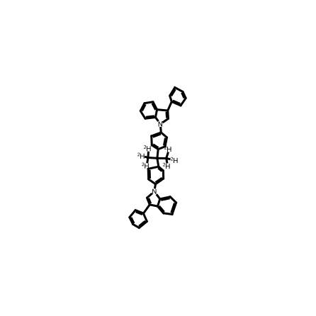 [2H]C([2H])([2H])C(c1ccc(-n2cc(-c3ccccc3)c3ccccc32)cc1)(c1ccc(-n2cc(-c3ccccc3)c3ccccc32)cc1)C([2H])([2H])[2H]